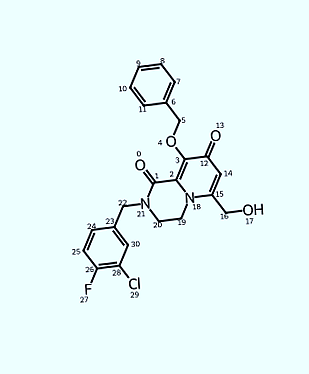 O=C1c2c(OCc3ccccc3)c(=O)cc(CO)n2CCN1Cc1ccc(F)c(Cl)c1